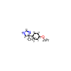 CCCOc1ccc(C2(C)C=NC=N2)cc1